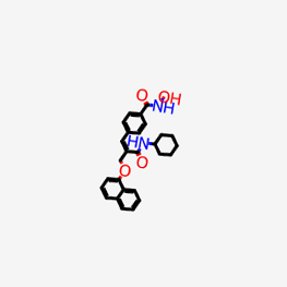 O=C(NC1CCCCC1)C(=Cc1ccc(C(=O)NO)cc1)COc1cccc2ccccc12